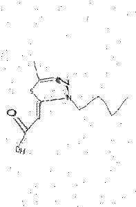 CCCCN1N=C(C)SC1=CC(=O)O